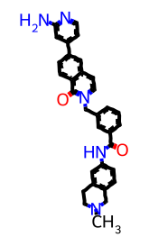 CN1CCc2cc(NC(=O)c3cccc(Cn4ccc5cc(-c6ccnc(N)c6)ccc5c4=O)c3)ccc2C1